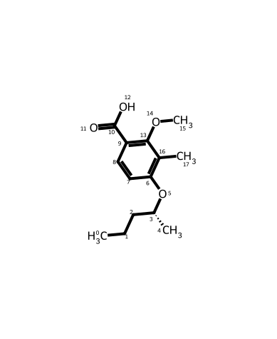 CCC[C@@H](C)Oc1ccc(C(=O)O)c(OC)c1C